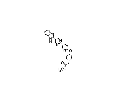 COC(=O)C[C@H]1CC[C@H](Oc2ccc(-c3ncc(-c4nc5ccccc5[nH]4)cn3)cn2)CC1